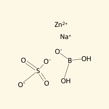 O=S(=O)([O-])[O-].[Na+].[O-]B(O)O.[Zn+2]